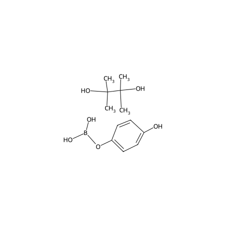 CC(C)(O)C(C)(C)O.OB(O)Oc1ccc(O)cc1